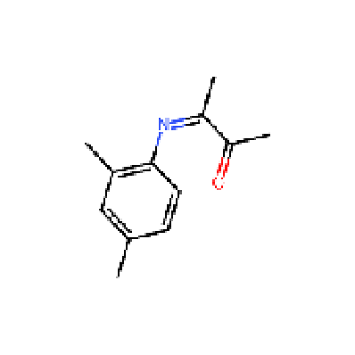 CC(=O)C(C)=Nc1ccc(C)cc1C